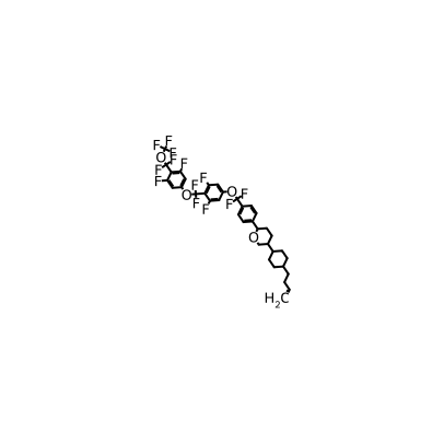 C=CCCC1CCC(C2CCC(c3ccc(C(F)(F)Oc4cc(F)c(C(F)(F)Oc5cc(F)c(C(F)(F)OC(F)(F)F)c(F)c5)c(F)c4)cc3)OC2)CC1